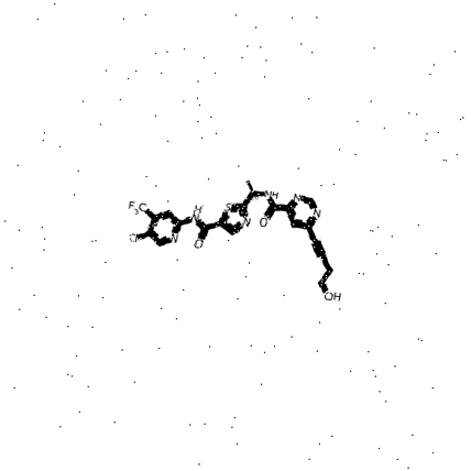 C[C@@H](NC(=O)c1cc(C#CCCO)ncn1)c1ncc(C(=O)Nc2cc(C(F)(F)F)c(Cl)cn2)s1